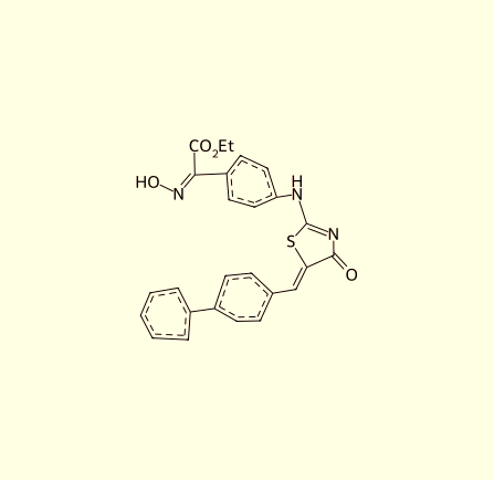 CCOC(=O)C(=NO)c1ccc(NC2=NC(=O)C(=Cc3ccc(-c4ccccc4)cc3)S2)cc1